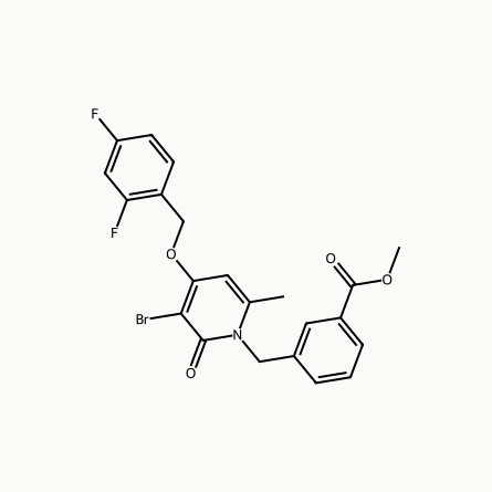 COC(=O)c1cccc(Cn2c(C)cc(OCc3ccc(F)cc3F)c(Br)c2=O)c1